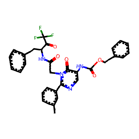 Cc1cccc(-c2ncc(NC(=O)OCc3ccccc3)c(=O)n2CC(=O)NC(Cc2ccccc2)C(=O)C(F)(F)F)c1